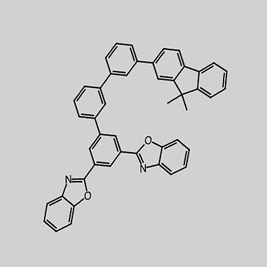 CC1(C)c2ccccc2-c2ccc(-c3cccc(-c4cccc(-c5cc(-c6nc7ccccc7o6)cc(-c6nc7ccccc7o6)c5)c4)c3)cc21